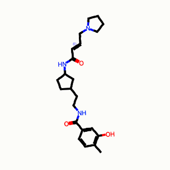 Cc1ccc(C(=O)NCCC2CCC(NC(=O)/C=C/CN3CCCC3)C2)cc1O